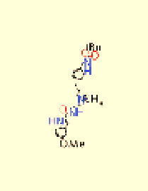 COc1ccc2[nH]c(C(=O)NCCN(C)CCCc3ccc(CNC(=O)OC(C)(C)C)cc3)cc2c1